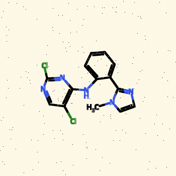 Cn1ccnc1-c1ccccc1Nc1nc(Cl)ncc1Cl